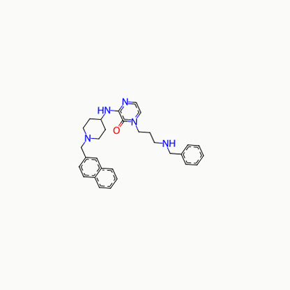 O=c1c(NC2CCN(Cc3ccc4ccccc4c3)CC2)nccn1CCCNCc1ccccc1